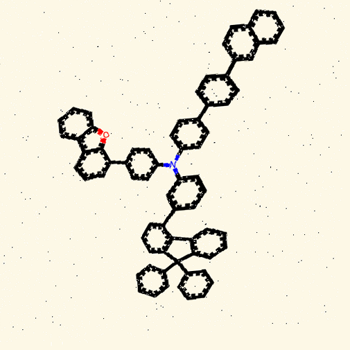 c1ccc(C2(c3ccccc3)c3ccccc3-c3c(-c4cccc(N(c5ccc(-c6ccc(-c7ccc8ccccc8c7)cc6)cc5)c5ccc(-c6cccc7c6oc6ccccc67)cc5)c4)cccc32)cc1